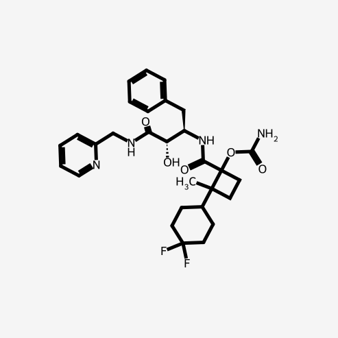 CC1(C2CCC(F)(F)CC2)CCC1(OC(N)=O)C(=O)N[C@H](Cc1ccccc1)[C@H](O)C(=O)NCc1ccccn1